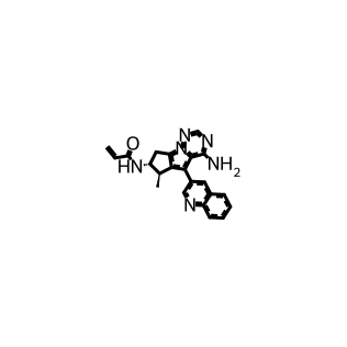 C=CC(=O)N[C@@H]1Cc2c(c(-c3cnc4ccccc4c3)c3c(N)ncnn23)[C@H]1C